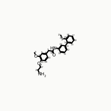 COc1cc(CC(=O)Nc2cccc(-c3ccccc3SC)c2)ccc1OCCN